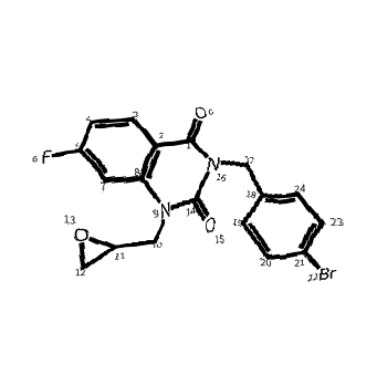 O=c1c2ccc(F)cc2n(CC2CO2)c(=O)n1Cc1ccc(Br)cc1